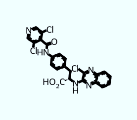 O=C(Nc1ccc(C[C@H](Nc2nc3ccccc3nc2Cl)C(=O)O)cc1)c1c(Cl)cncc1Cl